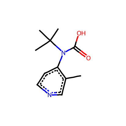 Cc1cnccc1N(C(=O)O)C(C)(C)C